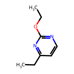 CCOc1nccc(CC)n1